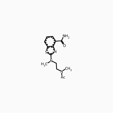 CC(=O)N(C)CCN(C)c1nc2c(C(N)=O)c[c]cc2s1